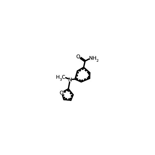 CN(c1cccc(C(N)=O)c1)c1ccco1